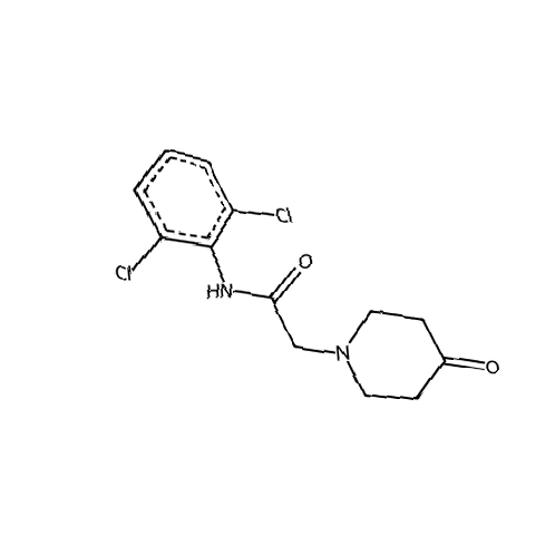 O=C1CCN(CC(=O)Nc2c(Cl)cccc2Cl)CC1